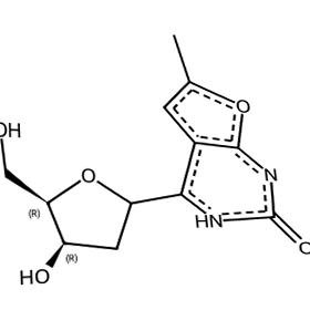 Cc1cc2c(C3C[C@@H](O)[C@@H](CO)O3)[nH]c(=O)nc2o1